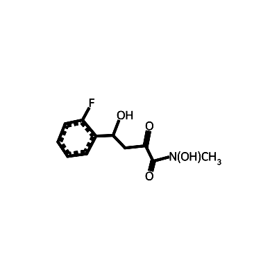 CN(O)C(=O)C(=O)CC(O)c1ccccc1F